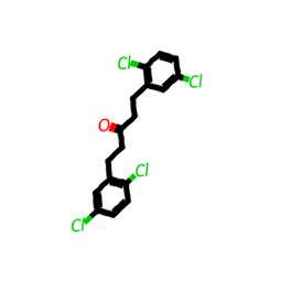 O=C(CCc1cc(Cl)ccc1Cl)CCc1cc(Cl)ccc1Cl